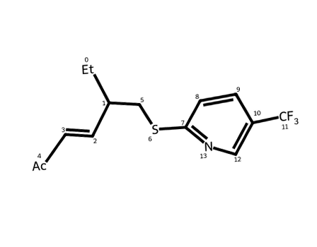 CCC(/C=C/C(C)=O)CSc1ccc(C(F)(F)F)cn1